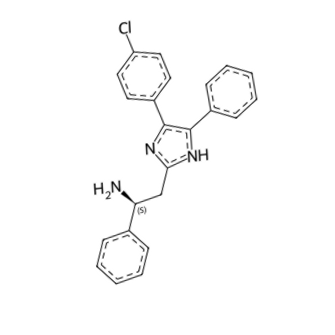 N[C@@H](Cc1nc(-c2ccc(Cl)cc2)c(-c2ccccc2)[nH]1)c1ccccc1